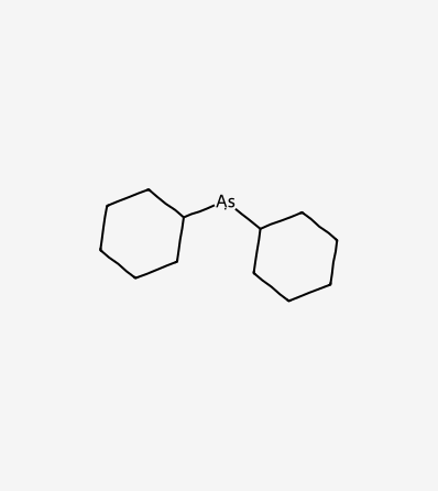 C1CCC([As]C2CCCCC2)CC1